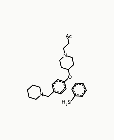 CC(=O)CCN1CCC(Oc2ccc(CN3CCCCC3)cc2)CC1.[SiH3]c1ccccc1